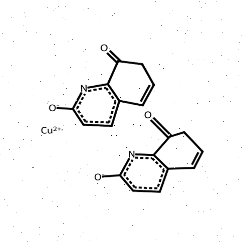 O=C1CC=Cc2ccc([O-])nc21.O=C1CC=Cc2ccc([O-])nc21.[Cu+2]